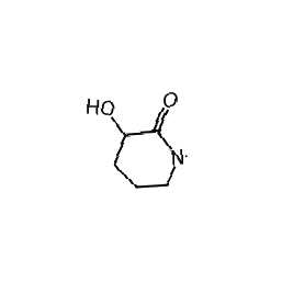 O=C1[N]CCCC1O